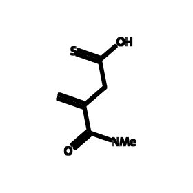 C=C(CC(O)=S)C(=O)NC